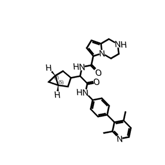 Cc1ccnc(C)c1-c1ccc(NC(=O)C(NC(=O)c2ccc3n2CCNC3)C2C[C@@H]3C[C@@H]3C2)cc1